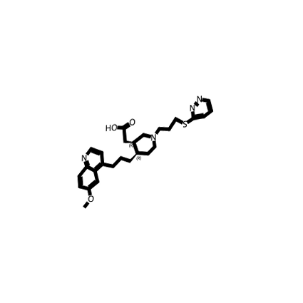 COc1ccc2nccc(CCC[C@@H]3CCN(CCCSc4cccnn4)C[C@@H]3CC(=O)O)c2c1